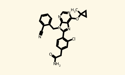 CC1(Oc2ncnc3c2nc(-c2ccc(CC(N)=O)cc2Cl)n3Cc2ccccc2C#N)CC1